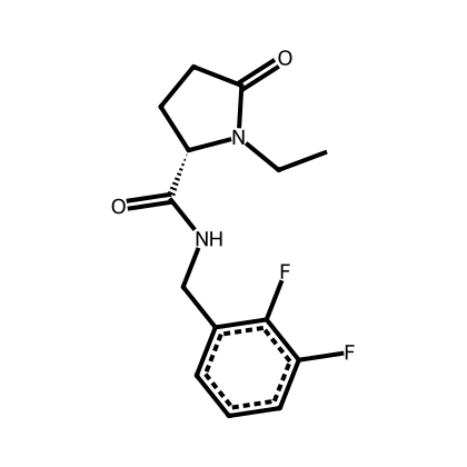 CCN1C(=O)CC[C@H]1C(=O)NCc1cccc(F)c1F